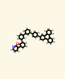 c1cc(-c2ccc(-c3ccc4c5ccccc5c5ccccc5c4c3)cc2)cc(-c2cccc(-c3cccc4c3oc3ncccc34)c2)c1